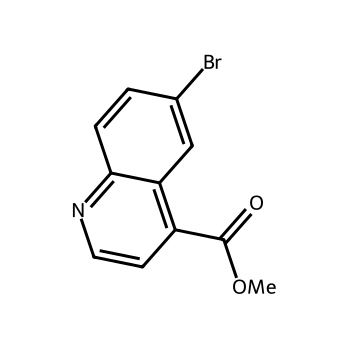 COC(=O)c1ccnc2ccc(Br)cc12